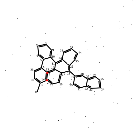 Cc1ccc(-c2ccccc2-c2c3ccccc3c(-c3ccc4ccccc4c3)c3ccccc23)cc1